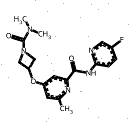 Cc1cc(OC2CN(C(=O)N(C)C)C2)cc(C(=O)Nc2ccc(F)cn2)n1